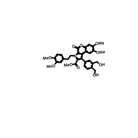 COC(=O)c1c(-c2ccc(CO)c(CO)c2)c2c3cc(OC)c(OC)cc3oc(=O)c2n1CCc1ccc(OC)c(OC)c1